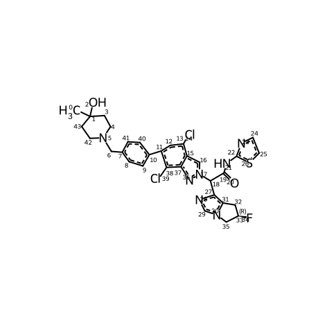 CC1(O)CCN(Cc2ccc(-c3cc(Cl)c4cn(C(C(=O)Nc5nccs5)c5ncn6c5C[C@@H](F)C6)nc4c3Cl)cc2)CC1